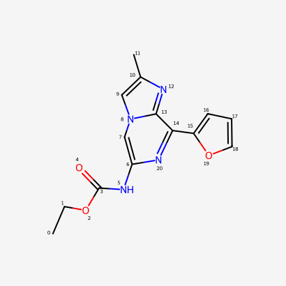 CCOC(=O)Nc1cn2cc(C)nc2c(-c2ccco2)n1